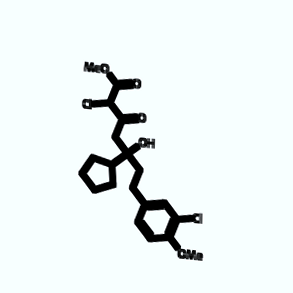 COC(=O)C(Cl)C(=O)CC(O)(CCc1ccc(OC)c(Cl)c1)C1CCCC1